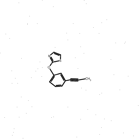 CC#Cc1cccc(Oc2nccs2)c1